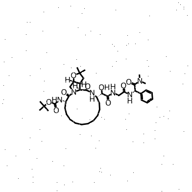 CN(C)C(=O)[C@@H](NC(=O)CNC(=O)C(O)[C@@H]1CCCCCCCCCC[C@H](NC(=O)OC(C)(C)C)C(=O)N2C[C@@H]3OC(C)(C)C[C@@H]3[C@H]2C(=O)N1)c1ccccc1